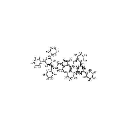 c1ccc(-c2cc(-c3ccccc3)cc(N(c3ccccc3)c3ccc4c(c3)sc3cccc(-c5ccccc5-c5nc(-c6ccccc6)nc(-c6ccccc6)n5)c34)c2)cc1